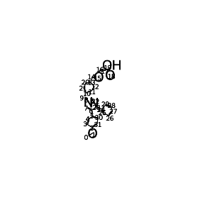 COc1ccc(-c2cn(C[C@H]3CC[C@H](COCC(=O)O)CC3)nc2-c2ccccc2)cc1